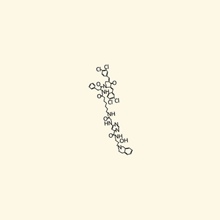 O=C(CNc1cc(C(=O)NC[C@H](O)CN2CCc3ccccc3C2)ncn1)NCCCCCCC(=O)N[C@@H](Cc1ccccc1)C(=O)N1C/C(=C\c2ccc(Cl)c(Cl)c2)C(=O)/C(=C/c2ccc(Cl)c(Cl)c2)C1